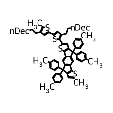 CCCCCCCCCCCCc1cc(-c2cc(CCCCCCCCCCCC)c(-c3cc4c(s3)-c3cc5c(cc3C4(c3ccc(C)cc3)c3ccc(C)cc3)-c3sc(C)cc3C5(c3ccc(C)cc3)c3ccc(C)cc3)s2)sc1C